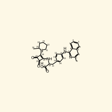 Cc1cc2ccccc2c(Nc2ccc(CC(Nc3c(N4CCCCC4C)c(=O)c3=O)C(=O)O)cc2)n1